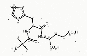 CC(C)(N)C(=O)N[C@@H](Cc1c[nH]cn1)C(=O)N[C@@H](CCC(=O)O)C(=O)O